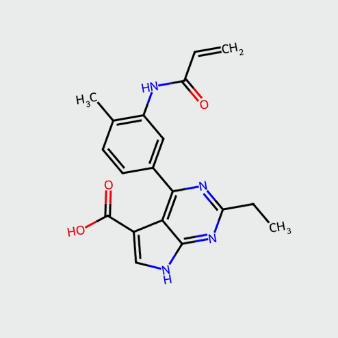 C=CC(=O)Nc1cc(-c2nc(CC)nc3[nH]cc(C(=O)O)c23)ccc1C